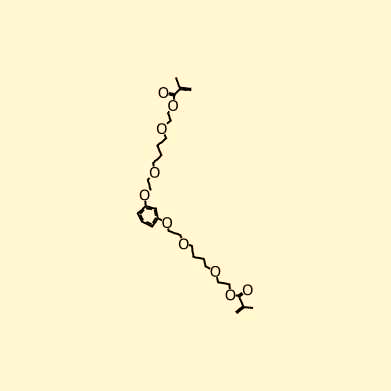 C=C(C)C(=O)OCCOCCCCOCCOc1cccc(OCCOCCCCOCCOC(=O)C(=C)C)c1